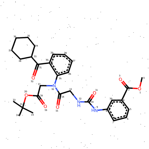 COC(=O)c1cccc(NC(=O)NCC(=O)N(CC(=O)OC(C)(C)C)c2ccccc2C(=O)C2CCCCC2)c1